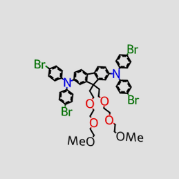 COCCOCCOCCC1(CCOCCOCCOC)c2cc(N(c3ccc(Br)cc3)c3ccc(Br)cc3)ccc2-c2ccc(N(c3ccc(Br)cc3)c3ccc(Br)cc3)cc21